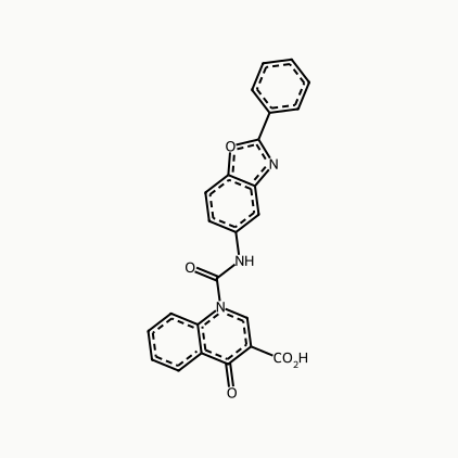 O=C(O)c1cn(C(=O)Nc2ccc3oc(-c4ccccc4)nc3c2)c2ccccc2c1=O